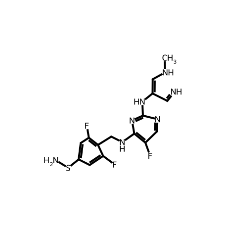 CN/C=C(\C=N)Nc1ncc(F)c(NCc2c(F)cc(SN)cc2F)n1